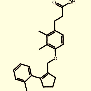 Cc1ccccc1C1=C(COc2ccc(CCC(=O)O)c(C)c2C)CCC1